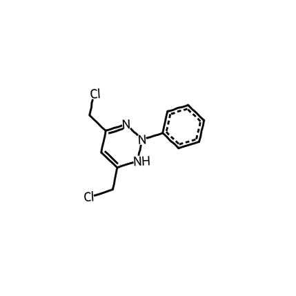 ClCC1=CC(CCl)=NN(c2ccccc2)N1